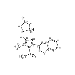 NC(=O)c1c(C2CCc3ccccc3C2)nn(C[C@@H]2C[C@@H](F)CN2)c1N